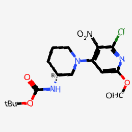 CC(C)(C)OC(=O)N[C@@H]1CCCN(c2cc(OC=O)nc(Cl)c2[N+](=O)[O-])C1